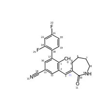 Cc1c(/C=C2\CCCCNC2=O)cc(C#N)cc1-c1ccc(F)cc1F